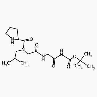 CC(C)CN(CC(=O)NCC(=O)NC(=O)OC(C)(C)C)C(=O)[C@@H]1CCCN1